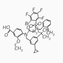 CCOc1cc(C(=O)O)ccc1N(Cc1cc(C2CC2)cc(C(C)(C)C)c1)C(=O)CN(Cc1ccccc1C)S(=O)(=O)c1c(F)c(F)c(F)c(F)c1Br